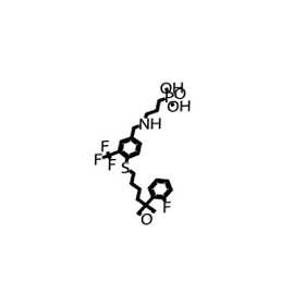 O=P(O)(O)CCCNCc1ccc(SCCCCC2(c3ccccc3F)COC2)c(C(F)(F)F)c1